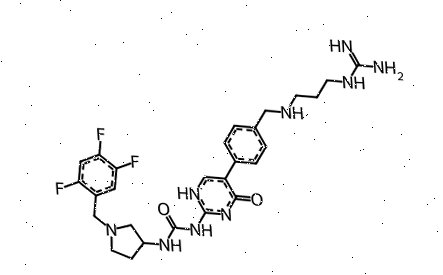 N=C(N)NCCCNCc1ccc(-c2c[nH]c(NC(=O)NC3CCN(Cc4cc(F)c(F)cc4F)C3)nc2=O)cc1